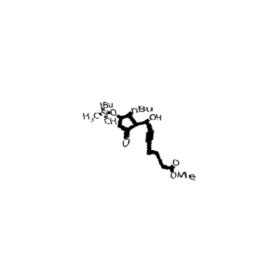 CCCCC1C(O[Si](C)(C)C(C)(C)C)CC(=O)C1C(O)C#CCCCC(=O)OC